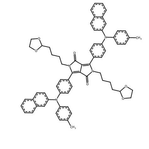 Cc1ccc(N(c2ccc(C3=C4C(=O)N(CCCCC5OCCO5)C(c5ccc(N(c6ccc(C)cc6)c6ccc7ccccc7c6)cc5)=C4C(=O)N3CCCCC3OCCO3)cc2)c2ccc3ccccc3c2)cc1